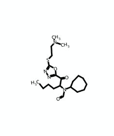 CCCCC(C(=O)c1nnc(SCCN(C)C)o1)N(C=O)C1CCCCCC1